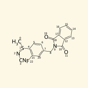 C/S(=N/C#N)c1ccc(CN2C(=O)c3ccccc3C2=O)cc1F